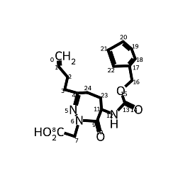 C=CCCC1=NN(CC(=O)O)C(=O)C(NC(=O)OCc2ccccc2)CC1